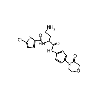 NCCC(NC(=O)c1ccc(Cl)s1)C(=O)Nc1ccc(N2CCOCC2=O)cc1